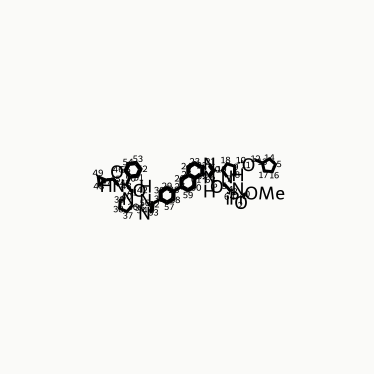 COC(=O)N[C@H](C(=O)N1C[C@@H](COCC2CCCC2)C[C@H]1c1nc2ccc3cc(-c4ccc(-c5cnc([C@@H]6CCCN6C(=O)[C@H](NC(=O)C6CC6)c6ccccc6)[nH]5)cc4)ccc3c2[nH]1)C(C)C